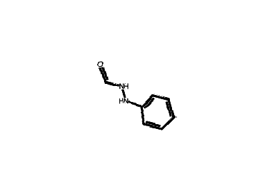 O=CNNc1cc[c]cc1